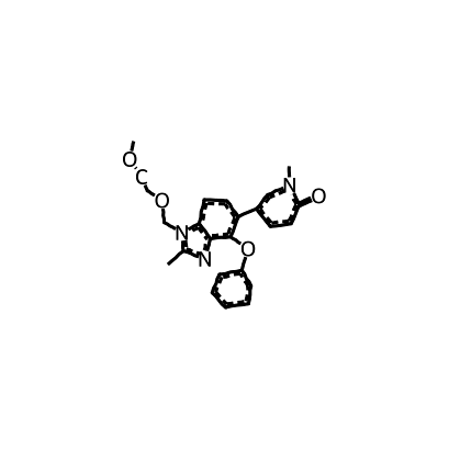 COCCOCn1c(C)nc2c(Oc3ccccc3)c(-c3ccc(=O)n(C)c3)ccc21